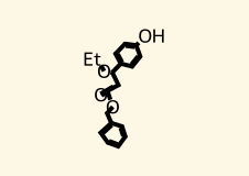 CCOC(CC(=O)OCc1ccccc1)c1ccc(O)cc1